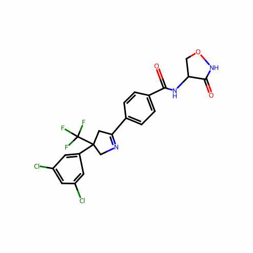 O=C(NC1CONC1=O)c1ccc(C2=NCC(c3cc(Cl)cc(Cl)c3)(C(F)(F)F)C2)cc1